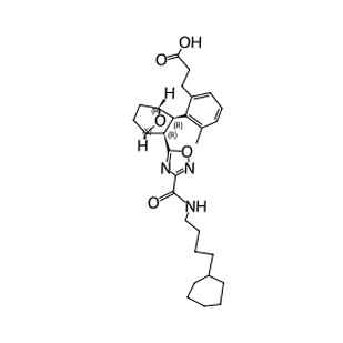 Cc1cccc(CCC(=O)O)c1[C@H]1[C@@H](c2nc(C(=O)NCCCCC3CCCCC3)no2)[C@@H]2CC[C@H]1O2